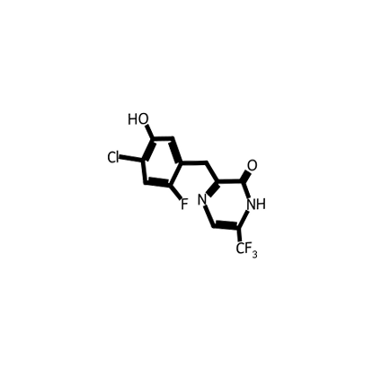 O=c1[nH]c(C(F)(F)F)cnc1Cc1cc(O)c(Cl)cc1F